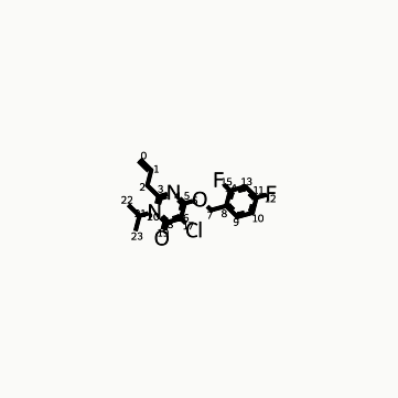 C=CCc1nc(OCc2ccc(F)cc2F)c(Cl)c(=O)n1C(C)C